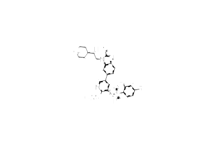 COc1ncc(-c2ccc3nc(N)n(CCC4CCOCC4)c3c2)cc1NS(=O)(=O)c1ccc(F)cc1F